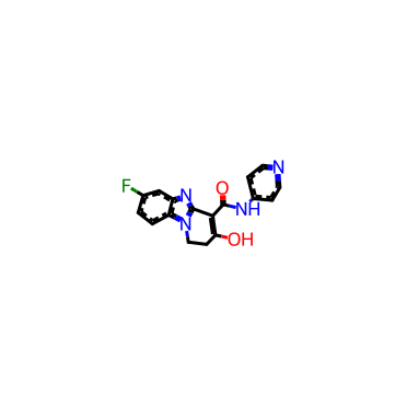 O=C(Nc1ccncc1)C1=C(O)CCn2c1nc1cc(F)ccc12